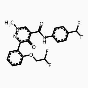 Cn1cc(C(=O)Nc2ccc(C(F)F)cc2)c(=O)c(-c2ccccc2OCC(F)F)n1